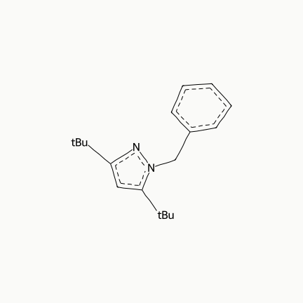 CC(C)(C)c1cc(C(C)(C)C)n(Cc2ccccc2)n1